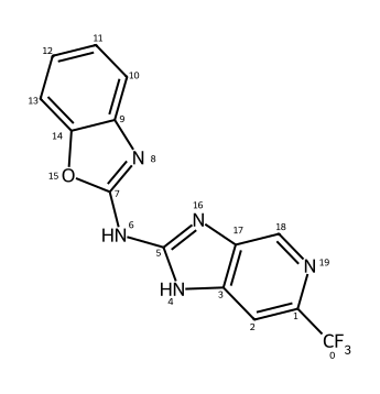 FC(F)(F)c1cc2[nH]c(Nc3nc4ccccc4o3)nc2cn1